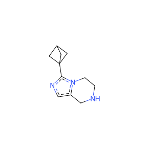 c1nc(C23CC(C2)C3)n2c1CNCC2